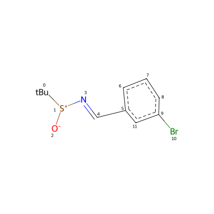 CC(C)(C)[S+]([O-])N=Cc1cccc(Br)c1